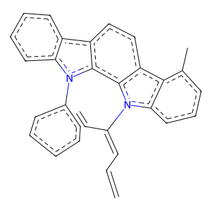 C=C/C=C(\C=C)n1c2cccc(C)c2c2ccc3c4ccccc4n(-c4ccccc4)c3c21